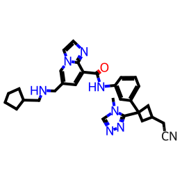 Cn1cnnc1C1(c2cccc(NC(=O)c3cc(CNCC4CCCC4)cn4ccnc34)c2)CC(CC#N)C1